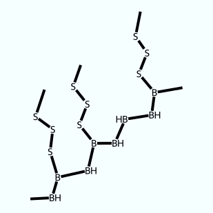 CBB(BB(BBBB(C)SSSC)SSSC)SSSC